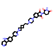 O=C1CCC(N2C(=O)c3ccc(N4CCN(CCC5CC6(C5)CN(c5ccc(-c7ccc8c(c7)[nH]c7ccncc78)cn5)C6)CC4)cc3C2=O)C(=O)N1